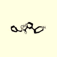 O=C(c1cc(C2=CCCNC2)ccn1)N(O)Cc1ccccc1